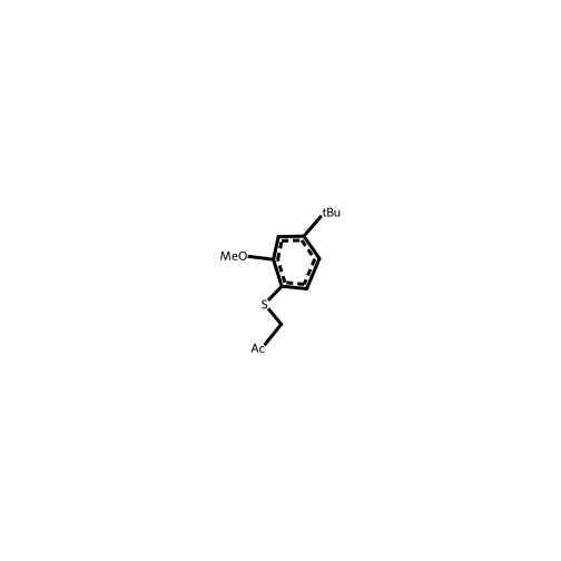 COc1cc(C(C)(C)C)ccc1SCC(C)=O